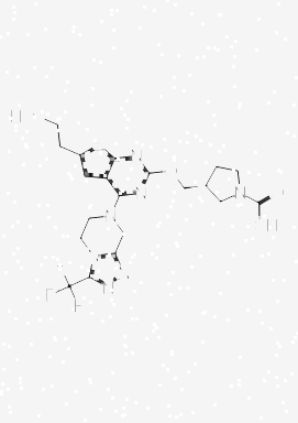 CCCc1cc2c(N3CCn4c(nnc4C(F)(F)F)C3)nc(OC[C@H]3CCN(C(C)=O)C3)nc2s1